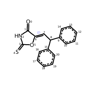 O=C1NC(=S)O/C1=C\C(c1ccccc1)c1ccccc1